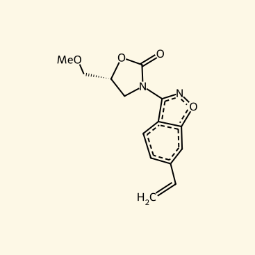 C=Cc1ccc2c(N3C[C@H](COC)OC3=O)noc2c1